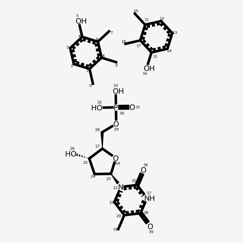 Cc1ccc(O)c(C)c1C.Cc1cccc(O)c1C.Cc1cn([C@H]2C[C@H](O)[C@@H](COP(=O)(O)O)O2)c(=O)[nH]c1=O